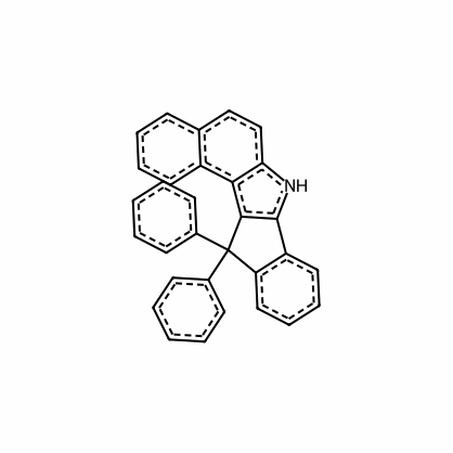 c1ccc(C2(c3ccccc3)c3ccccc3-c3[nH]c4ccc5ccccc5c4c32)cc1